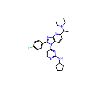 CCN(CC)C(C)c1ccc2c(n1)nc(-c1ccc(F)cc1)n2-c1ccnc(NC2CCCC2)n1